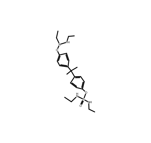 CCNP(=O)(NCC)Oc1ccc(C(C)(C)c2ccc(ON(CC)PCC)cc2)cc1